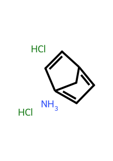 C1=CC2=CC=C1C2.Cl.Cl.N